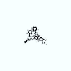 Cc1cn2c(nc1=O)O[C@@H]1[C@H]2O[C@](CCCN=[N+]=[N-])(COCc2ccccc2)[C@H]1OCc1ccccc1